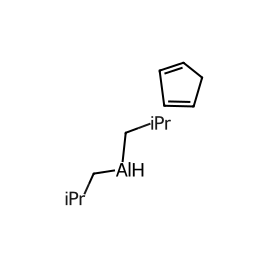 C1=CCC=C1.CC(C)[CH2][AlH][CH2]C(C)C